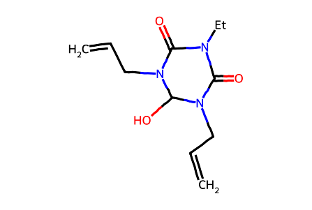 C=CCN1C(=O)N(CC)C(=O)N(CC=C)C1O